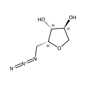 [N-]=[N+]=NC[C@H]1OC[C@H](O)[C@H]1O